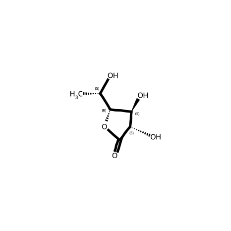 C[C@H](O)[C@H]1OC(=O)[C@@H](O)[C@@H]1O